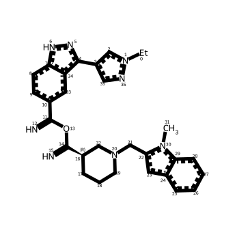 CCn1cc(-c2n[nH]c3ccc(C(=N)OC(=N)[C@@H]4CCCN(Cc5cc6ccccc6n5C)C4)cc23)cn1